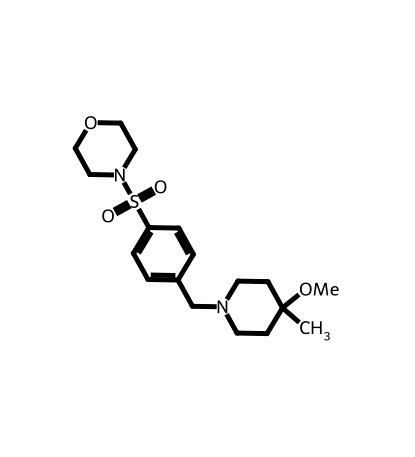 COC1(C)CCN(Cc2ccc(S(=O)(=O)N3CCOCC3)cc2)CC1